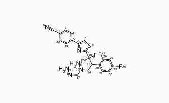 N#Cc1ccc(-c2csc(C(F)(F)C(CN(N)/C=N\N)c3ccc(F)cc3F)n2)cc1